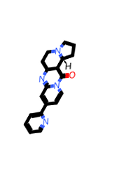 O=C1C2C(CCN3CCC[C@@H]23)N=C2C=C(c3ccccn3)C=CN12